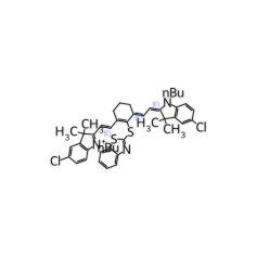 CCCCN1/C(=C/C=C2\CCCC(/C=C/C3=[N+](CCCC)c4ccc(Cl)cc4C3(C)C)=C2Sc2nc3ccccc3s2)C(C)(C)c2cc(Cl)ccc21